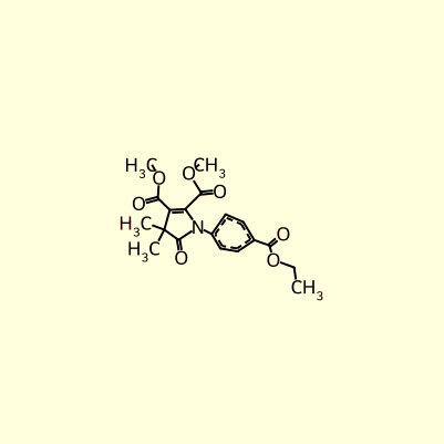 CCOC(=O)c1ccc(N2C(=O)C(C)(C)C(C(=O)OC)=C2C(=O)OC)cc1